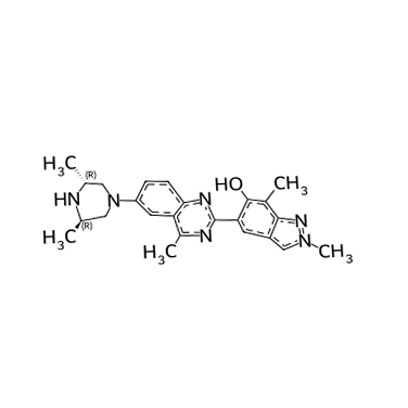 Cc1nc(-c2cc3cn(C)nc3c(C)c2O)nc2ccc(N3C[C@@H](C)N[C@H](C)C3)cc12